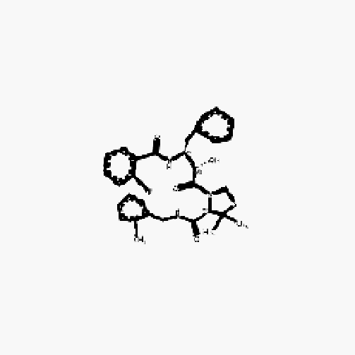 Cc1ccccc1CNC(=O)[C@H]1N(C(=O)[C@@H](O)[C@H](Cc2ccccc2)NC(=O)c2ccccc2F)CSC1(C)C